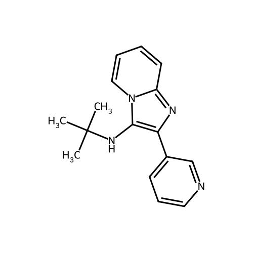 CC(C)(C)Nc1c(-c2cccnc2)nc2ccccn12